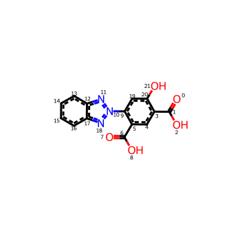 O=C(O)c1cc(C(=O)O)c(-n2nc3ccccc3n2)cc1O